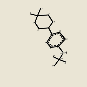 CC1(C)CCC(c2ccc(NC(C)(C)C)cc2)CC1